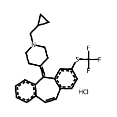 Cl.FC(F)(F)Sc1ccc2c(c1)C(=C1CCN(CC3CC3)CC1)c1ccccc1C=C2